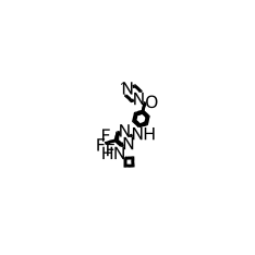 CN1CCN(C(=O)c2ccc(Nc3ncc(C(F)(F)F)c(NC4CCC4)n3)cc2)CC1